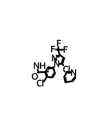 NC(=O)c1cc(-n2nc(C(F)(F)F)cc2Cl)ccc1Cl.c1ccncc1